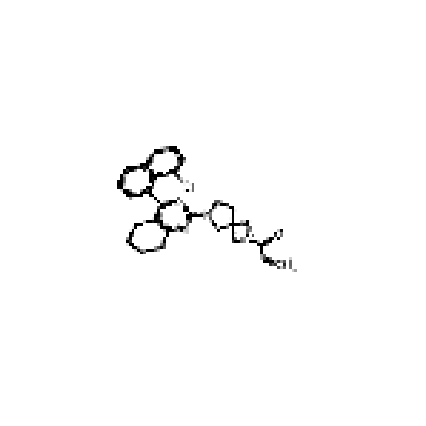 C=CC(=O)N1CC2(CCN(c3nc4c(c(-c5cccc6cccc(Cl)c56)n3)CCCC4)C2)C1